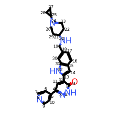 O=c1[nH]nc(-c2ccncc2)cc1-c1cc2ccc(CNC3CCN(C4CC4)CC3)cc2[nH]1